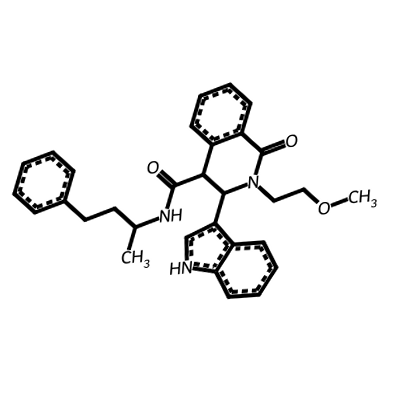 COCCN1C(=O)c2ccccc2C(C(=O)NC(C)CCc2ccccc2)C1c1c[nH]c2ccccc12